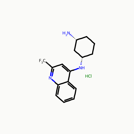 Cl.N[C@@H]1CCC[C@H](Nc2cc(C(F)(F)F)nc3ccccc23)C1